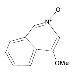 COc1c[n+]([O-])cc2ccccc12